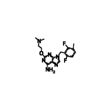 Cc1ccc(F)c(Cn2cnc3c(N)nc(OCCN(C)C)nc32)c1F